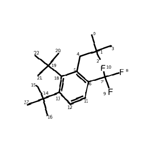 CC(C)(C)Cc1c(C(F)(F)F)ccc(C(C)(C)C)c1C(C)(C)C